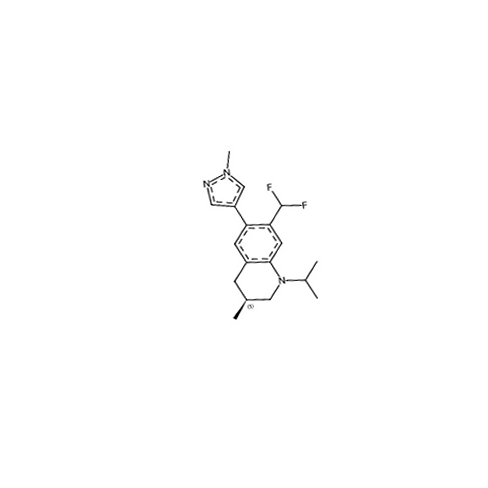 CC(C)N1C[C@@H](C)Cc2cc(-c3cnn(C)c3)c(C(F)F)cc21